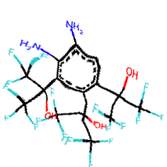 Nc1cc(C(O)(C(F)(F)F)C(F)(F)F)c(C(O)(C(F)(F)F)C(F)(F)F)c(C(O)(C(F)(F)F)C(F)(F)F)c1N